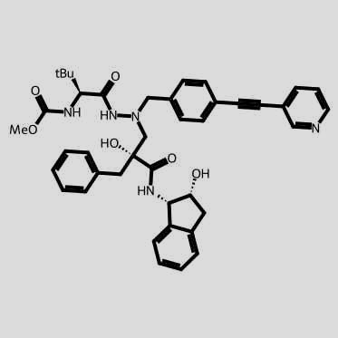 COC(=O)N[C@H](C(=O)NN(Cc1ccc(C#Cc2cccnc2)cc1)C[C@](O)(Cc1ccccc1)C(=O)N[C@H]1c2ccccc2C[C@H]1O)C(C)(C)C